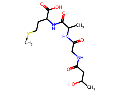 CSCCC(NC(=O)C(C)NC(=O)CNC(=O)CC(C)O)C(=O)O